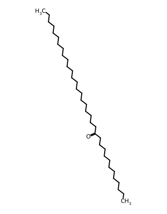 CCCCCCCCCCCCCCCCCCCCCCC(=O)CCCCCCCCCCCC